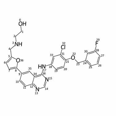 OCCNCc1ccc(-c2ccc3ncnc(Nc4ccc(OCc5cccc(F)c5)c(Cl)c4)c3c2)o1